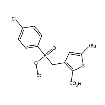 CCOP(=O)(Cc1cc(C(C)(C)C)sc1C(=O)O)c1ccc(Cl)cc1